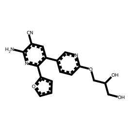 N#Cc1cc(-c2ccc(OCC(O)CO)nc2)c(-c2ccco2)nc1N